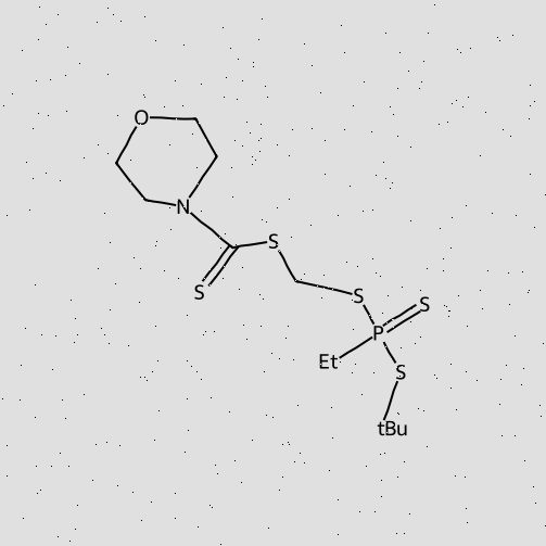 CCP(=S)(SCSC(=S)N1CCOCC1)SC(C)(C)C